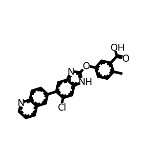 Cc1ccc(Oc2nc3cc(-c4ccc5ncccc5c4)c(Cl)cc3[nH]2)cc1C(=O)O